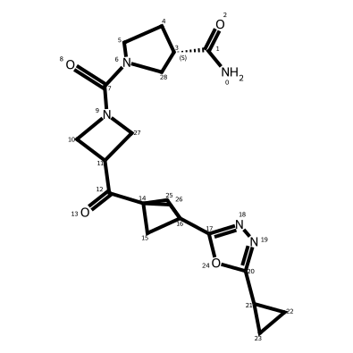 NC(=O)[C@H]1CCN(C(=O)N2CC(C(=O)C34CC(c5nnc(C6CC6)o5)(C3)C4)C2)C1